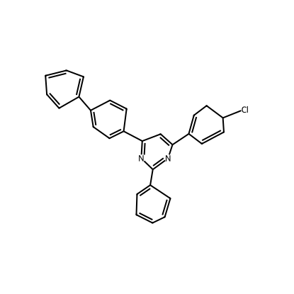 ClC1C=CC(c2cc(-c3ccc(-c4ccccc4)cc3)nc(-c3ccccc3)n2)=CC1